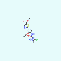 CCCO[C@H]1CN(c2nc(C)c(C(=O)OCC)s2)CC[C@H]1NC(=O)c1nc(Cl)c(C)[nH]1